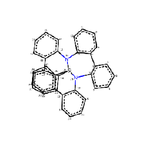 c1ccc2c(c1)-c1ccccc1N1c3ccccc3-c3ccccc3[Si]13c1ccccc1-c1ccccc1N23